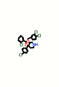 Clc1ccc([C@]2(OCc3ccccc3Cl)CCNC[C@@H]2OCc2ccc(Cl)c(Cl)c2)cc1